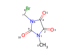 CN1C(=O)C(=O)N(CBr)C1=O